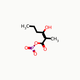 CCCC(O)=C(C)C(=O)OP(=O)=O